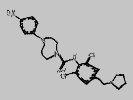 N=C(Nc1c(Cl)cc(CN2CCCC2)cc1Cl)N1CCN(c2ccc([N+](=O)[O-])cc2)CC1